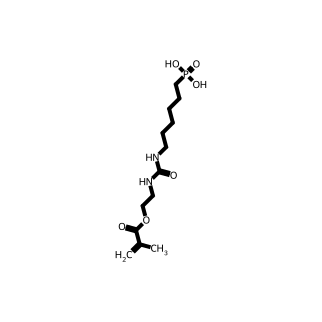 C=C(C)C(=O)OCCNC(=O)NCCCCCCP(=O)(O)O